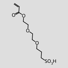 C=CC(=O)OCCOCCOCCCS(=O)(=O)O